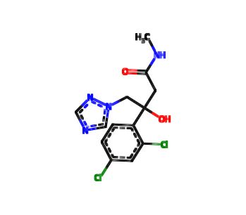 CNC(=O)CC(O)(Cn1cncn1)c1ccc(Cl)cc1Cl